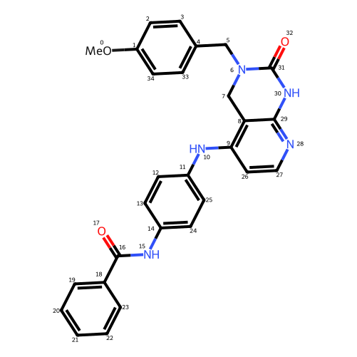 COc1ccc(CN2Cc3c(Nc4ccc(NC(=O)c5ccccc5)cc4)ccnc3NC2=O)cc1